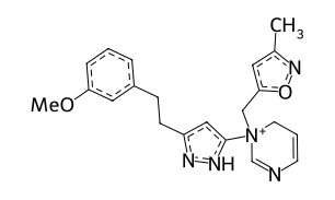 COc1cccc(CCc2cc([N+]3(Cc4cc(C)no4)C=NC=CC3)[nH]n2)c1